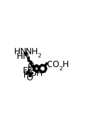 N=C(N)NCCCOc1ccc2c(c1)CC(CC(=O)O)CCC2.O=C(O)C(F)(F)F